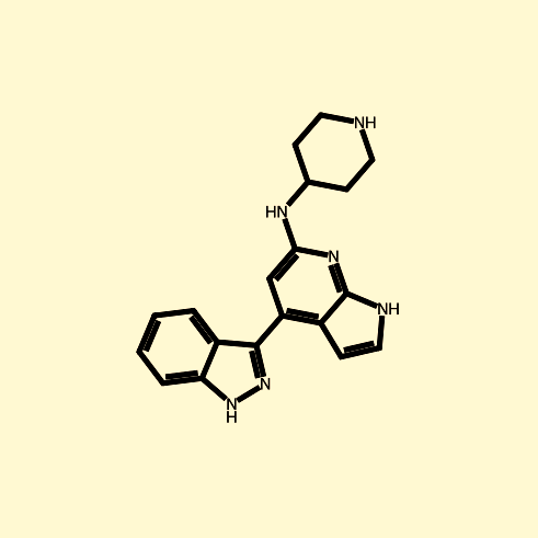 c1ccc2c(-c3cc(NC4CCNCC4)nc4[nH]ccc34)n[nH]c2c1